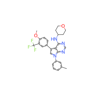 COc1ccc(-c2cn(-c3cccc(C)c3)c3ncnc(NC4CCOCC4)c23)cc1C(F)(F)F